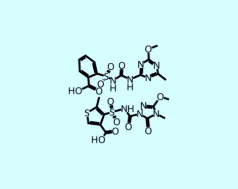 COc1nc(C)nc(NC(=O)NS(=O)(=O)c2ccccc2C(=O)O)n1.COc1nn(C(=O)NS(=O)(=O)c2c(C(=O)O)csc2C)c(=O)n1C